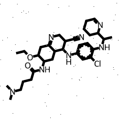 CCOC1CC2=NCC(C#N)C(Nc3ccc(NC(C)C4CCCC=N4)c(Cl)c3)C2CC1NC(=O)CCCN(C)C